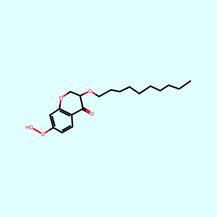 CCCCCCCCCCOC1COc2cc(OO)ccc2C1=O